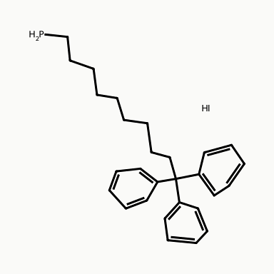 I.PCCCCCCCCCC(c1ccccc1)(c1ccccc1)c1ccccc1